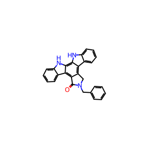 O=C1c2c(c3c4ccccc4[nH]c3c3[nH]c4ccccc4c23)CN1Cc1ccccc1